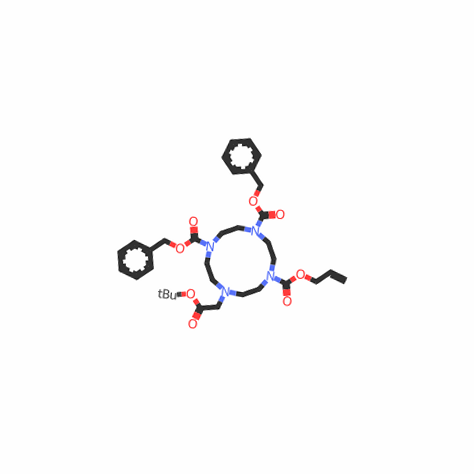 C=CCOC(=O)N1CCN(CC(=O)OC(C)(C)C)CCN(C(=O)OCc2ccccc2)CCN(C(=O)OCc2ccccc2)CC1